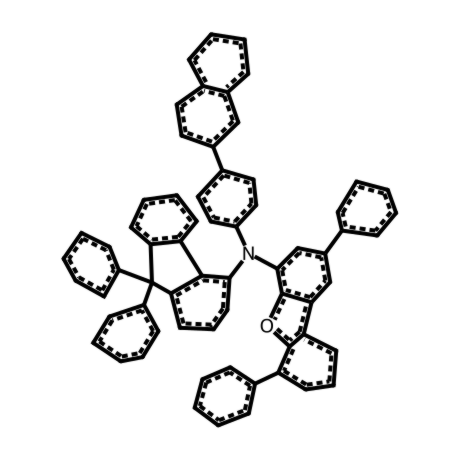 c1ccc(-c2cc(N(c3ccc(-c4ccc5ccccc5c4)cc3)c3cccc4c3-c3ccccc3C4(c3ccccc3)c3ccccc3)c3oc4c(-c5ccccc5)cccc4c3c2)cc1